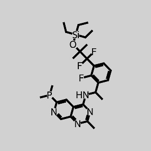 CC[Si](CC)(CC)OC(C)(C)C(F)(F)c1cccc(C(C)Nc2nc(C)nc3cnc(P(C)C)cc23)c1F